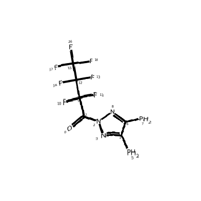 O=C(n1nc(P)c(P)n1)C(F)(F)C(F)(F)C(F)(F)F